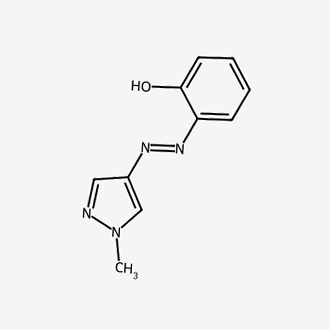 Cn1cc(N=Nc2ccccc2O)cn1